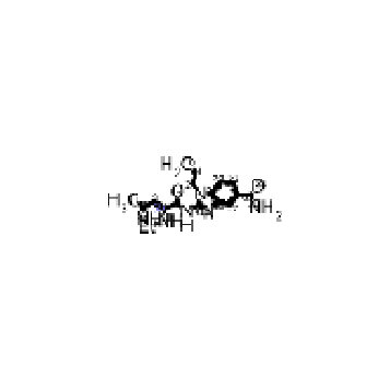 C=CCn1c(NC(=O)/C(=C/C(C)=N)NCC)nc2cc(C(N)=O)ccc21